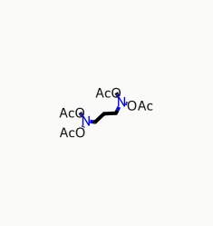 CC(=O)ON(CCCN(OC(C)=O)OC(C)=O)OC(C)=O